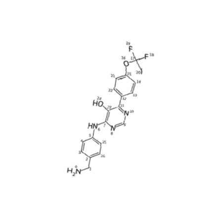 NCc1ccc(Nc2ncnc(-c3ccc(OC(F)(F)I)cc3)c2O)cc1